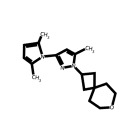 Cc1cc(-n2c(C)ccc2C)nn1C1CC2(CCOCC2)C1